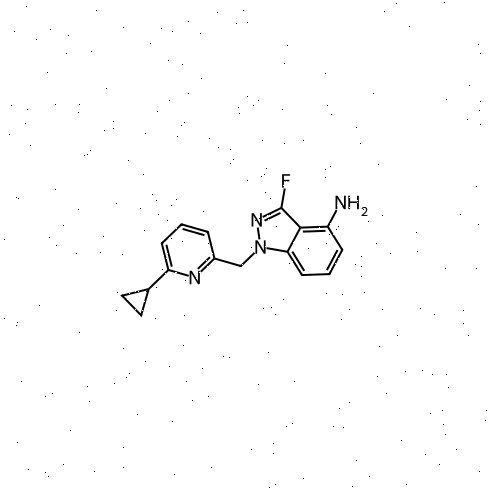 Nc1cccc2c1c(F)nn2Cc1cccc(C2CC2)n1